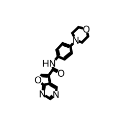 O=C(Nc1ccc(N2CCOCC2)cc1)c1coc2ncncc12